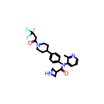 Cc1ncccc1N(C(=O)C1CNC1)c1ccc(C2CCN(C(=O)CC(F)(F)F)CC2)cc1